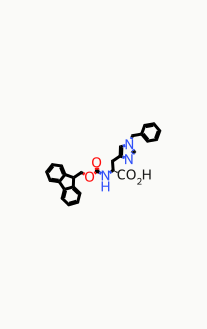 O=C(N[C@H](Cc1cn(Cc2ccccc2)cn1)C(=O)O)OCC1c2ccccc2-c2ccccc21